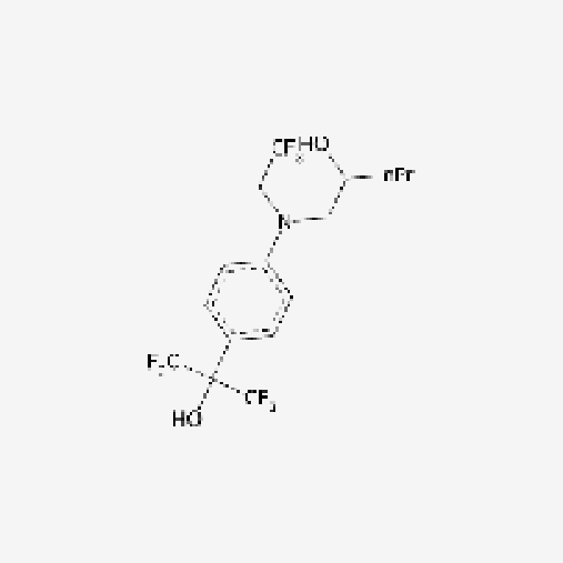 CCCC(O)CN(CC(F)(F)F)c1ccc(C(O)(C(F)(F)F)C(F)(F)F)cc1